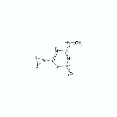 CNC1=NC(=O)CC(C2CC2)=N1